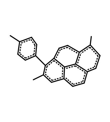 Cc1ccc(-c2c(C)cc3ccc4ccc(C)c5ccc2c3c45)cc1